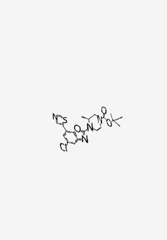 C[C@H]1CN(C(=O)OC(C)(C)C)CCN1c1nc2cc(Cl)cc(-c3cncs3)c2o1